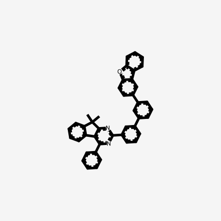 CC1(C)c2ccccc2-c2c(-c3ccccc3)nc(-c3cccc(-c4cccc(-c5ccc6oc7ccccc7c6c5)c4)c3)nc21